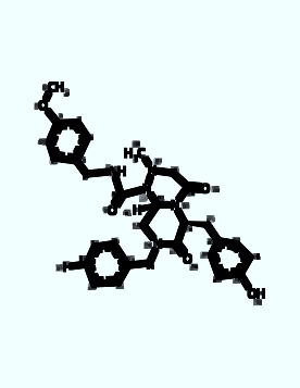 COc1ccc(CNC(=O)N2[C@H]3CN(Cc4ccc(F)cc4)C(=O)[C@H](Cc4ccc(O)cc4)N3C(=O)CN2C)cc1